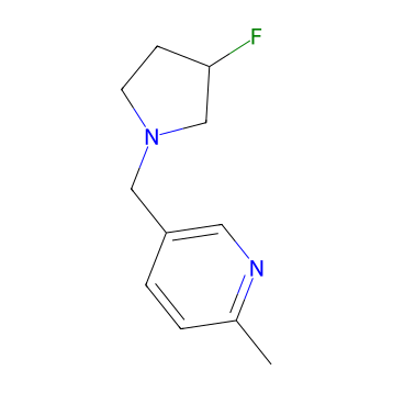 Cc1ccc(CN2CCC(F)C2)cn1